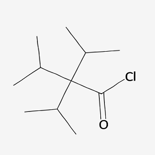 CC(C)C(C(=O)Cl)(C(C)C)C(C)C